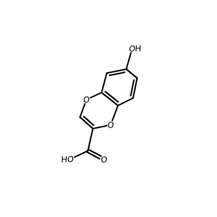 O=C(O)C1=COc2cc(O)ccc2O1